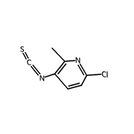 Cc1nc(Cl)ccc1N=C=S